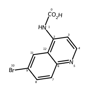 O=C(O)Nc1ccnc2ccc(Br)cc12